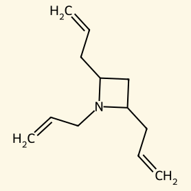 C=CCC1CC(CC=C)N1CC=C